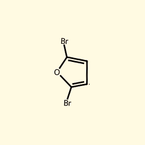 Brc1[c]cc(Br)o1